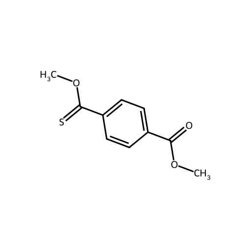 COC(=O)c1ccc(C(=S)OC)cc1